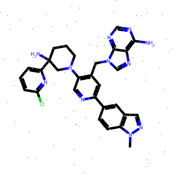 Cn1ncc2cc(-c3cc(Cn4cnc5c(N)ncnc54)c(N4CCCC(N)(c5cccc(Cl)n5)C4)cn3)ccc21